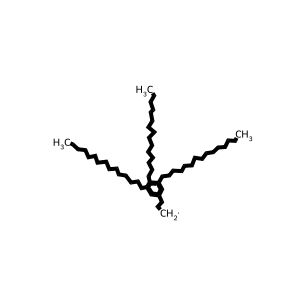 [CH2]CCc1cc(CCCCCCCCCCCCCCC)c(CCCCCCCCCCCCCCC)c(CCCCCCCCCCCCCCC)c1